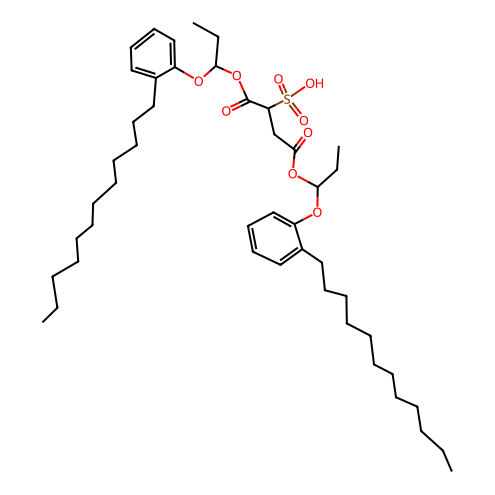 CCCCCCCCCCCCc1ccccc1OC(CC)OC(=O)CC(C(=O)OC(CC)Oc1ccccc1CCCCCCCCCCCC)S(=O)(=O)O